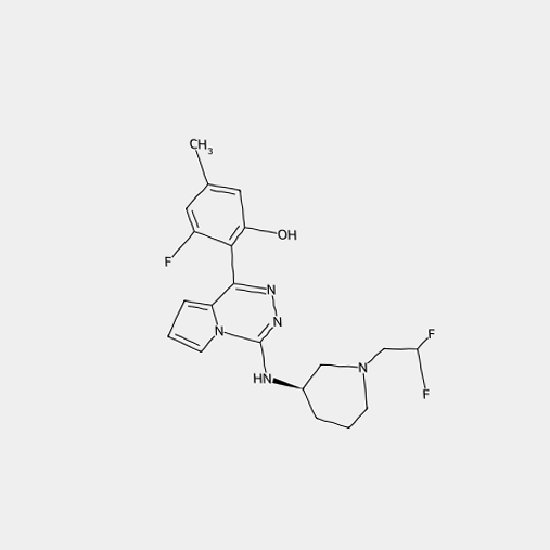 Cc1cc(O)c(-c2nnc(N[C@@H]3CCCN(CC(F)F)C3)n3cccc23)c(F)c1